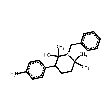 CC1(C)CCC(c2ccc(N)cc2)C(C)(C)N1Cc1ccccc1